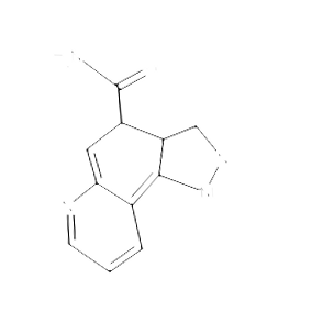 NC(=O)C1C=c2ncccc2=C2NNCC21